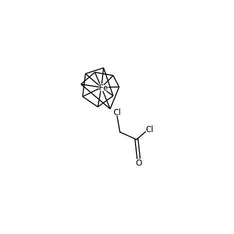 O=C(Cl)CCl.[CH]12[CH]3[CH]4[CH]5[CH]1[Fe]23451678[CH]2[CH]1[CH]6[CH]7[CH]28